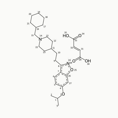 CC(C)Oc1ccc2c(CCC3CCN(CC4CCCCC4)CC3)noc2c1.O=C(O)C=CC(=O)O